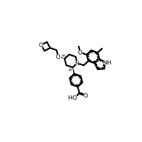 COc1cc(C)c2[nH]ccc2c1CN1CC[C@@H](OCC2COC2)C[C@@H]1c1ccc(C(=O)O)cc1